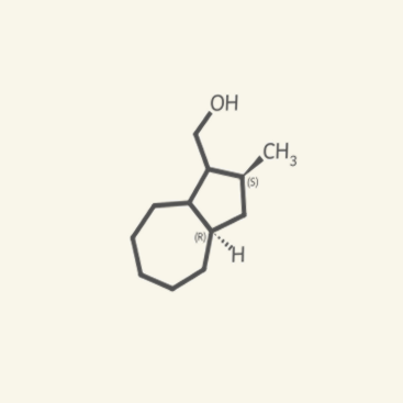 C[C@H]1C[C@H]2CCCCCC2C1CO